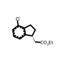 CCOC(=O)C[C@H]1CCc2c(Cl)cccc21